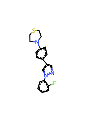 Fc1ccccc1-n1cc(-c2ccc(N3CCSCC3)cc2)cn1